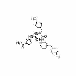 O=C(Nc1ccc(C(=O)O)s1)N[C@@H](Cc1ccc(O)cc1)C(=O)N[C@H]1CCCN(Cc2ccc(Cl)cc2)C1